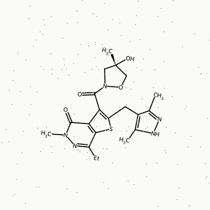 CCc1nn(C)c(=O)c2c(C(=O)N3C[C@](C)(O)CO3)c(Cc3c(C)n[nH]c3C)sc12